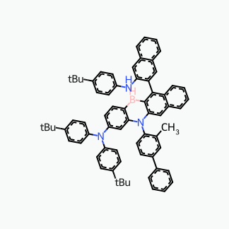 Cc1cc(-c2ccccc2)ccc1N1c2cc(N(c3ccc(C(C)(C)C)cc3)c3ccc(C(C)(C)C)cc3)ccc2Bc2c1cc1ccccc1c2-c1cc2ccccc2cc1Nc1ccc(C(C)(C)C)cc1